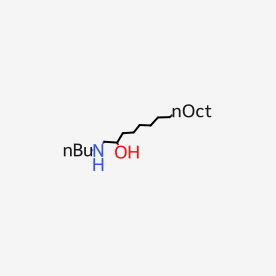 CCCCCCCCCCCCCCC(O)CNCCCC